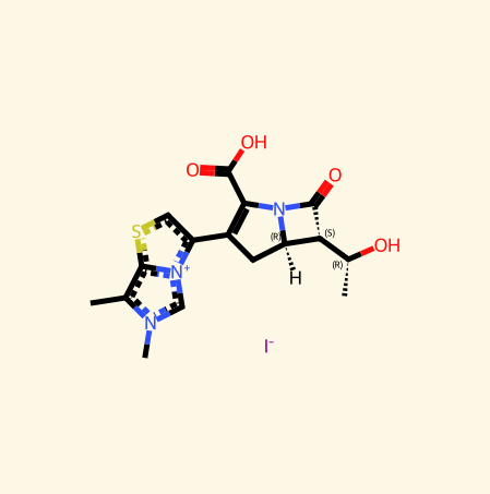 Cc1c2scc(C3=C(C(=O)O)N4C(=O)[C@H]([C@@H](C)O)[C@H]4C3)[n+]2cn1C.[I-]